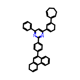 C1=CC(C2=CC(c3cc(-c4ccccc4)nc(-c4ccc(-c5cc6c(c7ccccc57)C=CCC6)cc4)n3)=CCC2)=CCCC1